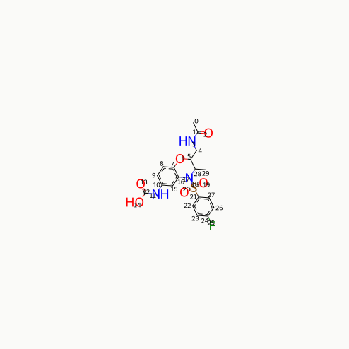 CC(=O)NCC1Oc2ccc(NC(=O)O)cc2N(S(=O)(=O)c2ccc(F)cc2)C1C